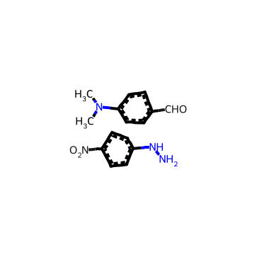 CN(C)c1ccc(C=O)cc1.NNc1ccc([N+](=O)[O-])cc1